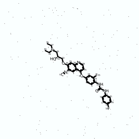 [C-]#[N+]c1cc2c(Oc3ccc(NC(=O)Nc4ccc(F)cc4)c(F)c3)ccnc2cc1OC[C@H](O)CN(CC)CC